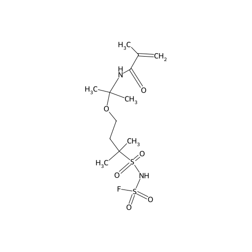 C=C(C)C(=O)NC(C)(C)OCCC(C)(C)S(=O)(=O)NS(=O)(=O)F